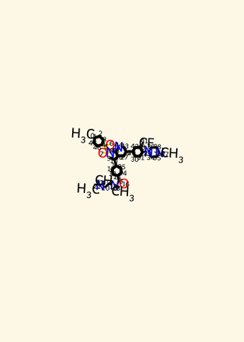 Cc1ccc(S(=O)(=O)n2cc(-c3ccc(C(=O)N(C)CCN(C)C)cc3)c3cc(-c4ccc(N5CCN(C)CC5)c(C(F)(F)F)c4)cnc32)cc1